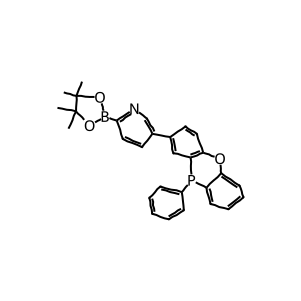 CC1(C)OB(c2ccc(-c3ccc4c(c3)P(c3ccccc3)c3ccccc3O4)cn2)OC1(C)C